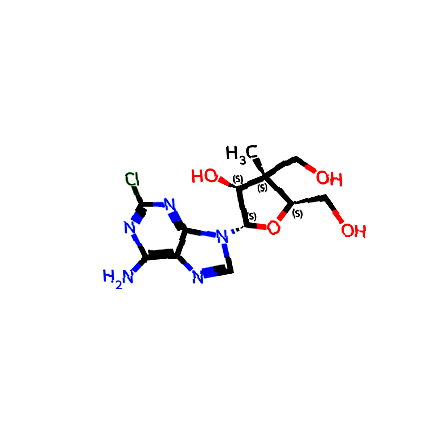 C[C@]1(CO)[C@H](O)[C@@H](n2cnc3c(N)nc(Cl)nc32)O[C@@H]1CO